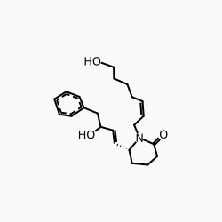 O=C1CCC[C@H](/C=C/C(O)Cc2ccccc2)N1C/C=C\CCCCO